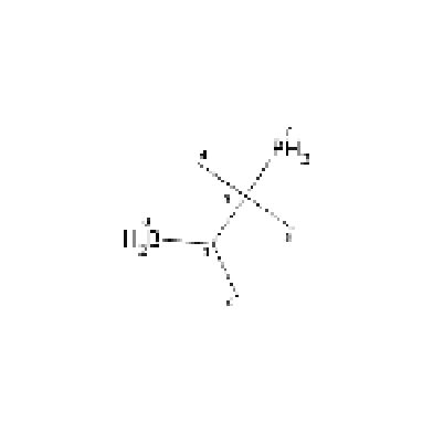 BC(C)C(C)(C)P